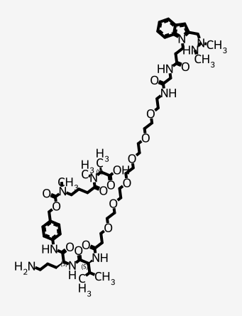 CNN(C)Cc1cc2ccccc2n1CCC(=O)NCC(=O)NCCOCCOCCOCCOCCOCCOCCC(=O)N[C@H](C(=O)N[C@@H](CCCN)C(=O)Nc1ccc(COC(=O)N(C)CCCC(=O)N(C)[C@@H](C)C(=O)O)cc1)C(C)C